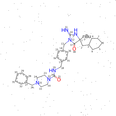 CCCCC1(CC2CCCCC2)NC(=N)N(Cc2ccc(CNC(=O)N3CCN(Cc4ccccc4)CC3)cc2)C1=O